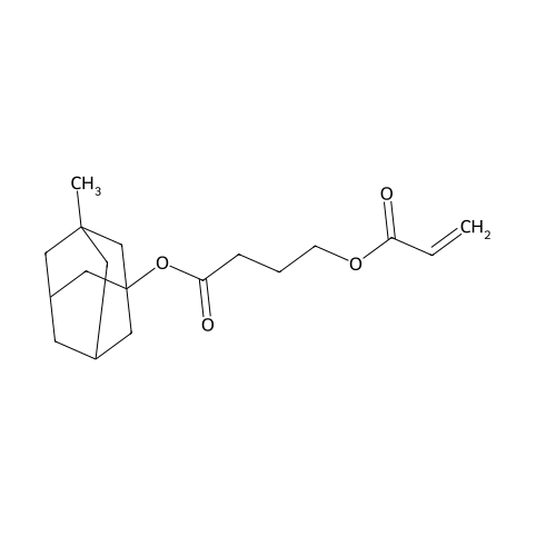 C=CC(=O)OCCCC(=O)OC12CC3CC(CC(C)(C3)C1)C2